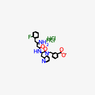 COC(=O)c1cccc(CN2C(=O)C(NC(=O)C[C@H](N)Cc3ccccc3F)Cc3ncccc32)c1.Cl.Cl